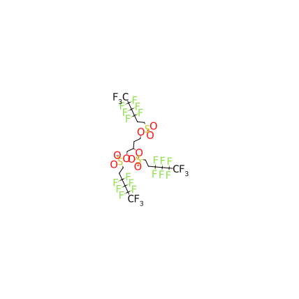 O=S(=O)(CCC(F)(F)C(F)(F)C(F)(F)C(F)(F)F)OCCC(COS(=O)(=O)CCC(F)(F)C(F)(F)C(F)(F)C(F)(F)F)OS(=O)(=O)CCC(F)(F)C(F)(F)C(F)(F)C(F)(F)F